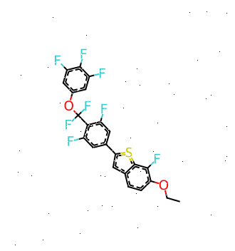 CCOc1ccc2cc(-c3cc(F)c(C(F)(F)Oc4cc(F)c(F)c(F)c4)c(F)c3)sc2c1F